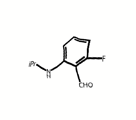 CC(C)Nc1cccc(F)c1C=O